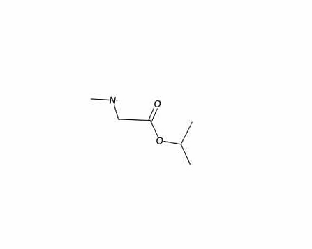 C[N]CC(=O)OC(C)C